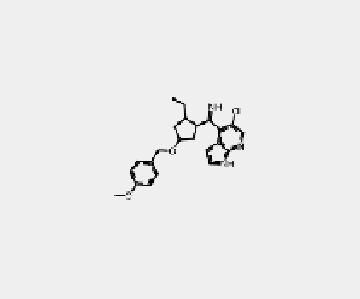 CCC1CC(OCc2ccc(OC)cc2)CC1C(=N)c1c(Cl)cnc2[nH]ccc12